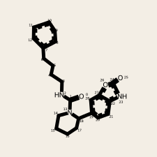 O=C(NCCCCc1ccccc1)N1CCCCC1c1ccc2[nH]c(=O)oc2c1